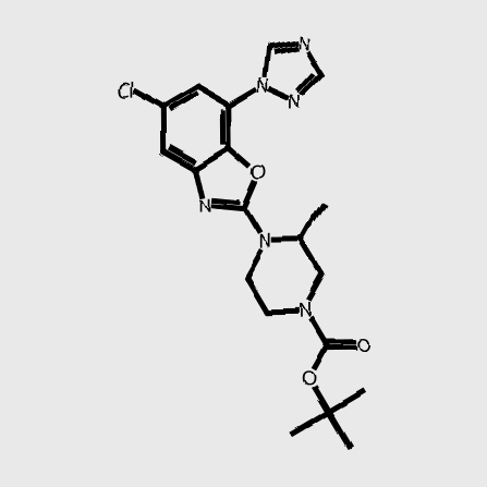 CC1CN(C(=O)OC(C)(C)C)CCN1c1nc2cc(Cl)cc(-n3cncn3)c2o1